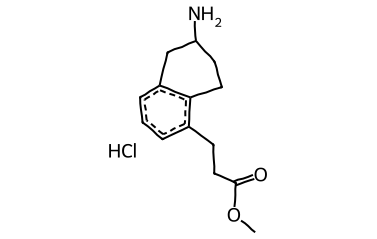 COC(=O)CCc1cccc2c1CCC(N)C2.Cl